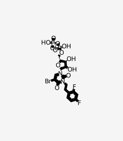 O=c1c(Br)cn([C@@H]2O[C@H](COP(=O)(O)OP(=O)(O)O)[C@H](O)C2O)c(=O)n1CCc1ccc(F)cc1F